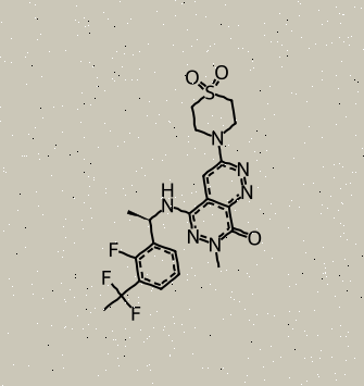 C[C@@H](Nc1nn(C)c(=O)c2nnc(N3CCS(=O)(=O)CC3)cc12)c1cccc(C(C)(F)F)c1F